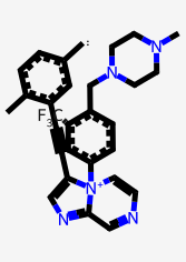 [CH]c1ccc(C)c(C#CC2=CN=C3C=NC=C[N+]23c2ccc(CN3CCN(C)CC3)c(C(F)(F)F)c2)c1